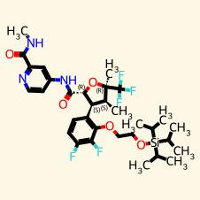 CNC(=O)c1cc(NC(=O)[C@@H]2O[C@@](C)(C(F)(F)F)[C@@H](C)[C@H]2c2ccc(F)c(F)c2OCCO[Si](C(C)C)(C(C)C)C(C)C)ccn1